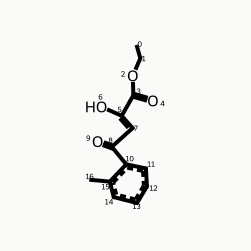 CCOC(=O)C(O)=CC(=O)c1ccccc1C